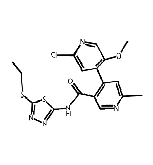 CCSc1nnc(NC(=O)c2cnc(C)cc2-c2cc(Cl)ncc2OC)s1